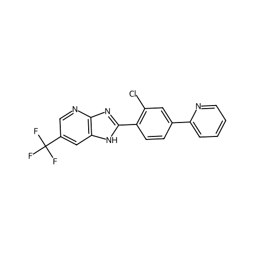 FC(F)(F)c1cnc2nc(-c3ccc(-c4ccccn4)cc3Cl)[nH]c2c1